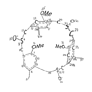 COc1cc2c(C)cc1C[S+]([O-])Cc1cc(OC)c(cc1C)C[S+]([O-])Cc1cc(C)c(cc1OC)C[S+]([O-])C2